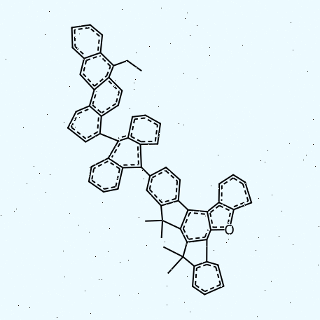 CCc1c2ccccc2cc2c1ccc1c(-c3c4ccccc4c(-c4ccc5c(c4)C(C)(C)c4c6c(c7oc8ccccc8c7c4-5)-c4ccccc4C6(C)C)c4ccccc34)cccc12